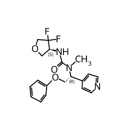 CN(C(=O)N[C@H]1COCC1(F)F)[C@@H](COc1ccccc1)c1ccncc1